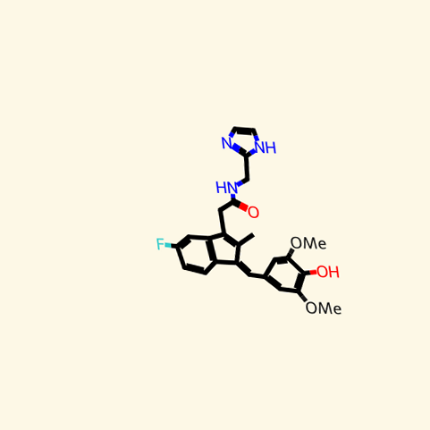 COc1cc(C=C2C(C)=C(CC(=O)NCc3ncc[nH]3)c3cc(F)ccc32)cc(OC)c1O